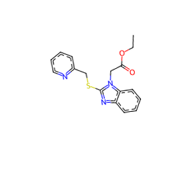 CCOC(=O)Cn1c(SCc2ccccn2)nc2ccccc21